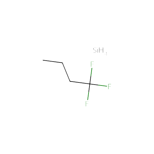 CCCC(F)(F)F.[SiH4]